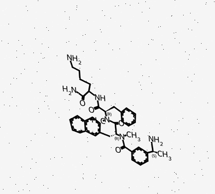 C[C@H](N)c1cccc(C(=O)N(C)[C@H](Cc2ccc3ccccc3c2)C(=O)N(C)[C@H](Cc2ccccc2)C(=O)NC(CCCCN)C(N)=O)c1